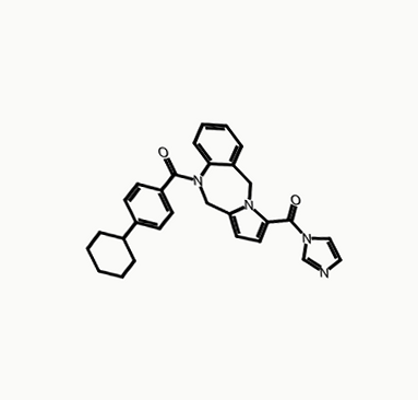 O=C(c1ccc(C2CCCCC2)cc1)N1Cc2ccc(C(=O)n3ccnc3)n2Cc2ccccc21